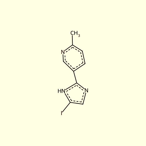 Cc1ccc(-c2ncc(I)[nH]2)cn1